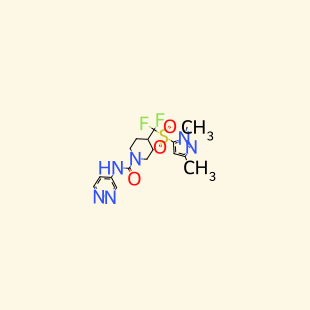 Cc1cc(S(=O)(=O)C(F)(F)C2CCN(C(=O)Nc3ccnnc3)CC2)n(C)n1